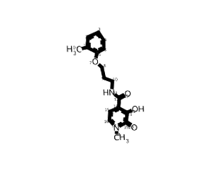 Cc1ccccc1OCCCNC(=O)c1ccn(C)c(=O)c1O